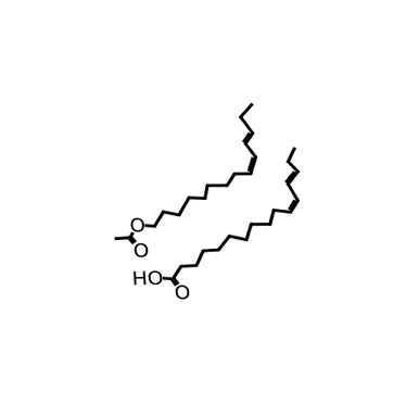 CC/C=C/C=C\CCCCCCCCCC(=O)O.CC/C=C/C=C\CCCCCCCCOC(C)=O